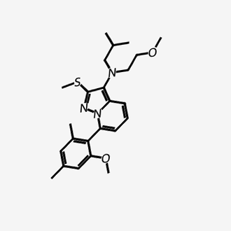 COCCN(CC(C)C)c1c(SC)nn2c(-c3c(C)cc(C)cc3OC)cccc12